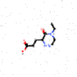 CCN(CC)C(=O)[C@@H](N)CCC(=O)O